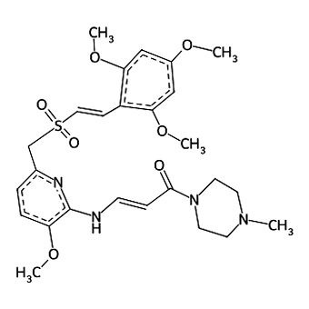 COc1cc(OC)c(C=CS(=O)(=O)Cc2ccc(OC)c(NC=CC(=O)N3CCN(C)CC3)n2)c(OC)c1